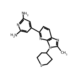 Cc1nc2ccc(-c3cc(N)nc(N)c3)nc2n1C1CCSCC1